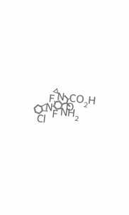 Nc1c(F)c(N2Cc3cccc(Cl)c3C2)c(F)c2c1c(=O)c(C(=O)O)cn2C1CC1